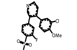 COc1ccc(-c2ccncc2-c2ccc(S(C)(=O)=O)c(F)c2)cc1Cl